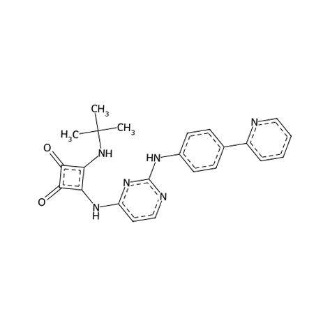 CC(C)(C)Nc1c(Nc2ccnc(Nc3ccc(-c4ccccn4)cc3)n2)c(=O)c1=O